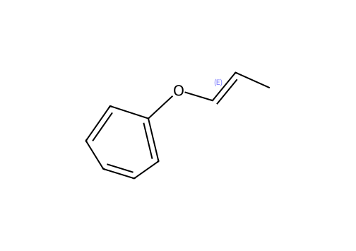 C/C=C/Oc1ccccc1